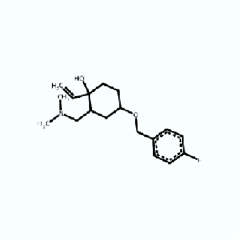 C=CC1(O)CCC(OCc2ccc(F)cc2)CC1CN(C)C